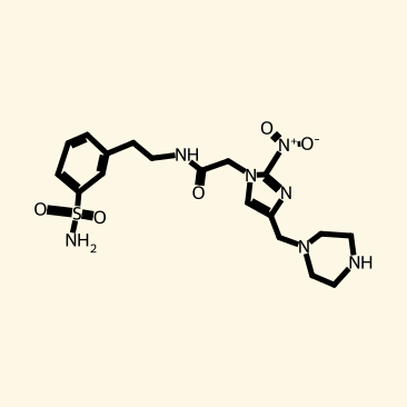 NS(=O)(=O)c1cccc(CCNC(=O)Cn2cc(CN3CCNCC3)nc2[N+](=O)[O-])c1